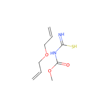 C=CCOCC=C.COC(=O)NC(=N)S